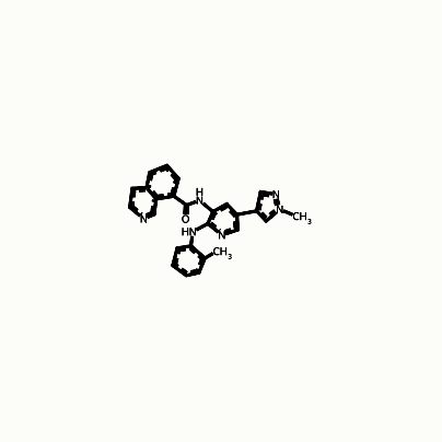 Cc1ccccc1Nc1ncc(-c2cnn(C)c2)cc1NC(=O)c1cccc2ccncc12